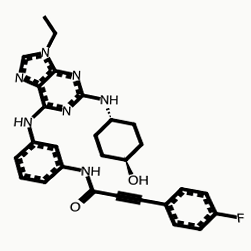 CCn1cnc2c(Nc3cccc(NC(=O)C#Cc4ccc(F)cc4)c3)nc(N[C@H]3CC[C@H](O)CC3)nc21